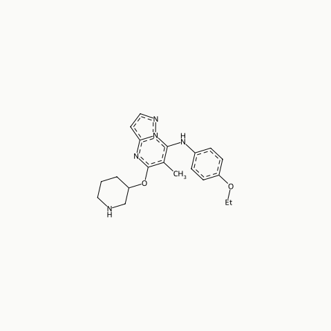 CCOc1ccc(Nc2c(C)c(OC3CCCNC3)nc3ccnn23)cc1